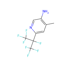 Cc1cc(C(F)(C(F)(F)F)C(F)(F)F)ncc1N